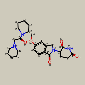 O=C1CCC(N2Cc3cc(OC[C@H]4CCCCN4C(=O)CN4CCCCC4)ccc3C2=O)C(=O)N1